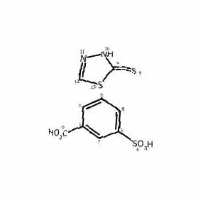 O=C(O)c1cccc(S(=O)(=O)O)c1.S=c1[nH]ncs1